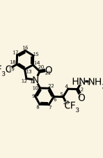 NNC(=O)CC(c1cccc(N2Cc3c(cccc3C(F)(F)F)C2=O)c1)C(F)(F)F